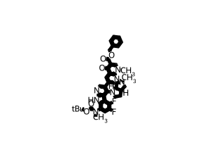 CN1C[C@H]2CCN(c3c(-c4cnc5c(c4)c(=O)c(C(=O)OCc4ccccc4)cn5C)cnc4[nH]c5c(N(C)C(=O)OC(C)(C)C)cc(F)c(F)c5c34)[C@H]2C1